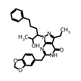 CCc1nn(C(CCCc2ccccc2)C(C)O)c2nc(Cc3ccc4c(c3)OCO4)[nH]c(=O)c12